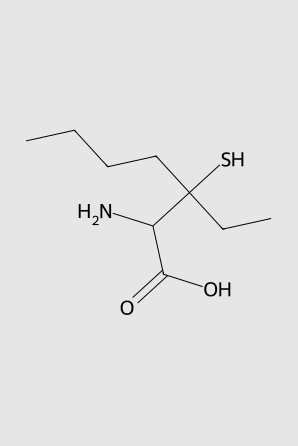 CCCCC(S)(CC)C(N)C(=O)O